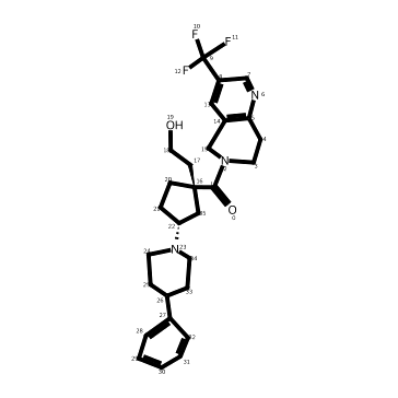 O=C(N1CCc2ncc(C(F)(F)F)cc2C1)[C@@]1(CCO)CC[C@@H](N2CCC(c3ccccc3)CC2)C1